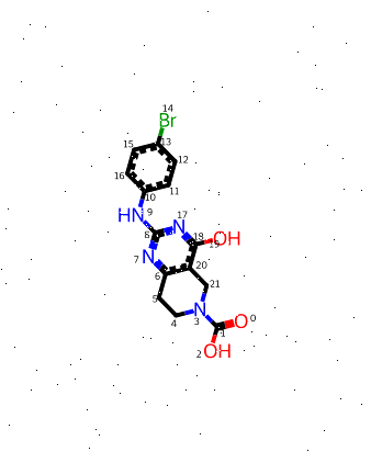 O=C(O)N1CCc2nc(Nc3ccc(Br)cc3)nc(O)c2C1